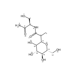 CC(C(=O)N[C@H](CO)C(N)=O)C1O[C@H](CO)[C@@H](O)[C@H](O)C1O